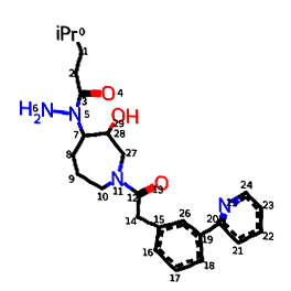 CC(C)CCC(=O)N(N)C1CCCN(C(=O)Cc2cccc(-c3ccccn3)c2)CC1O